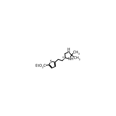 CCOC(=O)c1ccc(CC[C@H]2CNC(C)(C)N2)s1